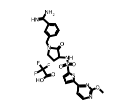 COc1nccc(-c2ccc(S(=O)(=O)NC3CCN(Cc4cccc(C(=N)N)c4)C3=O)s2)n1.O=C(O)C(F)(F)F